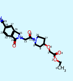 CCOC(=O)COC1CCN(C(=O)CN2Cc3cc(C#N)ccc3C2=O)CC1